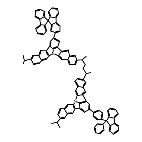 CC(C)c1ccc2cc3c(cc2c1)c1cc(-c2ccc(C4(c5ccccc5)c5ccccc5-c5ccccc54)cc2)cc2c4cc5cc(C(C)CCC(C)c6ccc7cc8c(cc7c6)c6cc(-c7ccc9c(c7)C7(c%10ccccc%10-c%10ccccc%107)c7ccccc7-9)cc7c9cc%10cc(C(C)C)ccc%10cc9n8c76)ccc5cc4n3c12